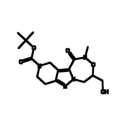 CN1OC(CO)Cn2nc3c(c2C1=O)CN(C(=O)OC(C)(C)C)CC3